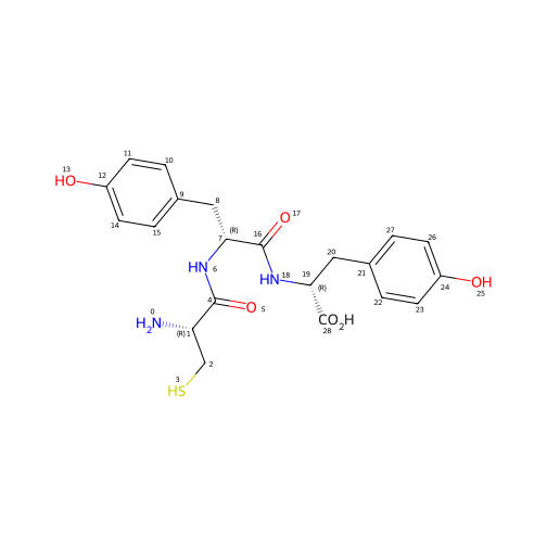 N[C@@H](CS)C(=O)N[C@H](Cc1ccc(O)cc1)C(=O)N[C@H](Cc1ccc(O)cc1)C(=O)O